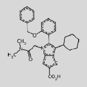 CN(C)C(=O)Cn1c(-c2ccccc2OCc2ccccc2)c(C2CCCCC2)c2sc(C(=O)O)cc21